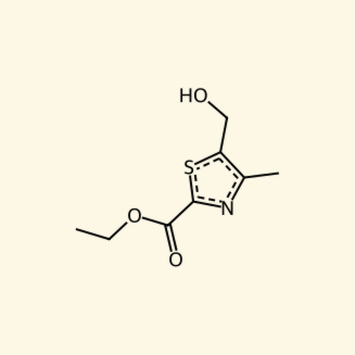 CCOC(=O)c1nc(C)c(CO)s1